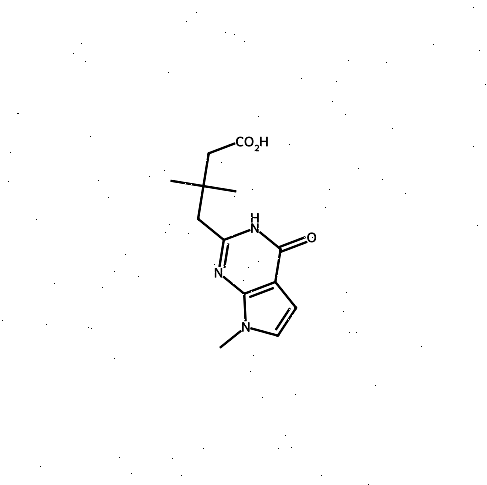 Cn1ccc2c(=O)[nH]c(CC(C)(C)CC(=O)O)nc21